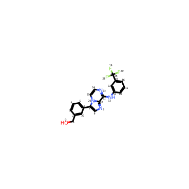 OCc1cccc(-c2cnc3c(Nc4cccc(C(F)(F)F)c4)nccn23)c1